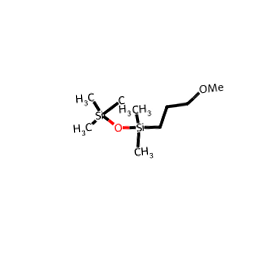 [CH2]OCCC[Si](C)(C)O[Si](C)(C)C